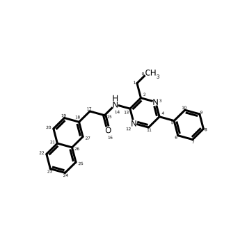 CCc1nc(-c2ccccc2)cnc1NC(=O)Cc1ccc2ccccc2c1